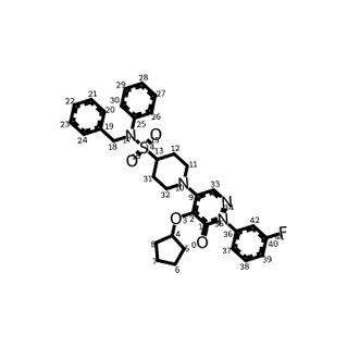 O=c1c(OC2CCCC2)c(N2CCC(S(=O)(=O)N(Cc3ccccc3)c3ccccc3)CC2)cnn1-c1cccc(F)c1